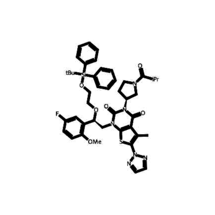 COc1ccc(F)cc1[C@H](Cn1c(=O)n([C@H]2CCN(C(=O)C(C)C)C2)c(=O)c2c(C)c(-n3nccn3)sc21)OCCO[Si](c1ccccc1)(c1ccccc1)C(C)(C)C